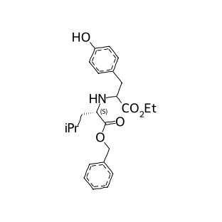 CCOC(=O)C(Cc1ccc(O)cc1)N[C@@H](CC(C)C)C(=O)OCc1ccccc1